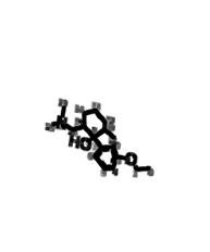 CCOc1cccc(C2(O)C(C)CCCC2CN(C)C)c1